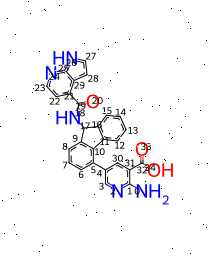 Nc1ncc(-c2cccc3c2-c2ccccc2C3NC(=O)c2ccnc3[nH]ccc23)cc1C(=O)O